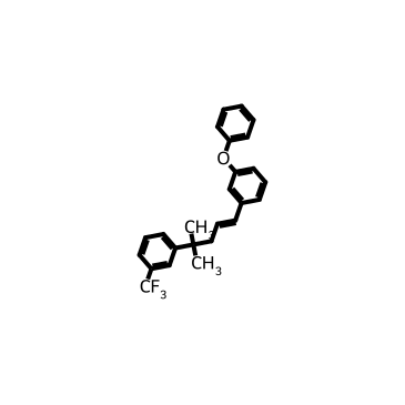 CC(C)(C/C=C/c1cccc(Oc2ccccc2)c1)c1cccc(C(F)(F)F)c1